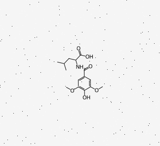 CC(C)CC(N)C(=O)O.COc1cc(C=O)cc(OC)c1O